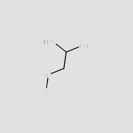 CC(C)[CH2][Sn][I]